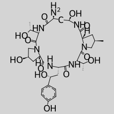 C[C@@H]1C[C@H]2C(=O)N[C@H](O)C[C@H](N)C(=O)N[C@@H]([C@@H](C)O)C(=O)N3C[C@H](O)C[C@H]3C(=O)N[C@@H](C[C@@H](O)c3ccc(O)cc3)C(=O)N[C@@H]([C@@H](C)O)C(=O)N2C1